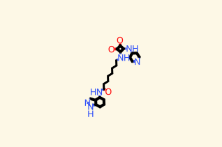 O=C(CCCCCCCNc1c(Nc2ccncc2)c(=O)c1=O)Nc1cccc2[nH]ncc12